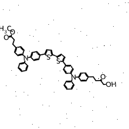 COC(=O)CCc1ccc(N(c2ccccc2)c2ccc(-c3ccc(-c4ccc(-c5ccc(N(c6ccccc6)c6ccc(CCC(=O)CO)cc6)cc5)s4)s3)cc2)cc1